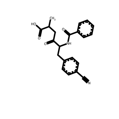 CC(CC(=O)C(Cc1ccc(C#N)cc1)NC(=O)c1ccccc1)C(=O)O